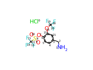 Cl.NCc1ccc(OS(=O)(=O)C(F)(F)F)c(OC(F)(F)F)c1